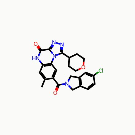 Cc1cc2[nH]c(=O)c3nnc(C4CCOCC4)n3c2cc1C(=O)N1Cc2ccc(Cl)cc2C1